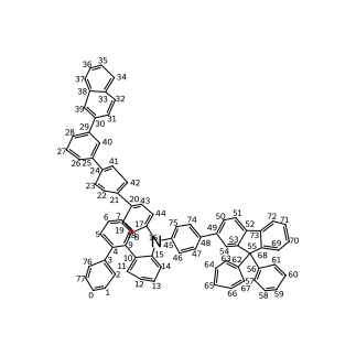 c1ccc(-c2ccccc2-c2ccccc2N(c2ccc(-c3ccc(-c4cccc(-c5ccc6ccccc6c5)c4)cc3)cc2)c2ccc(-c3ccc4c(c3)C(c3ccccc3)(c3ccccc3)c3ccccc3-4)cc2)cc1